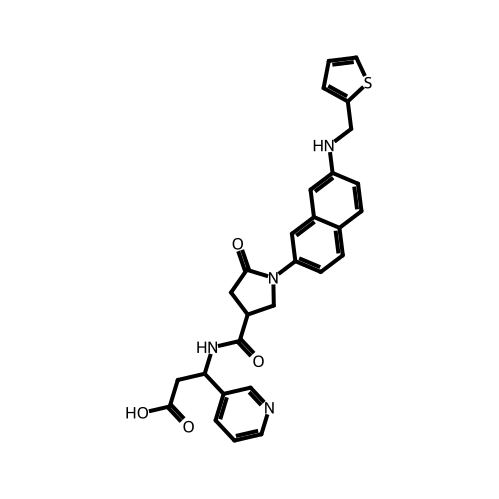 O=C(O)CC(NC(=O)C1CC(=O)N(c2ccc3ccc(NCc4cccs4)cc3c2)C1)c1cccnc1